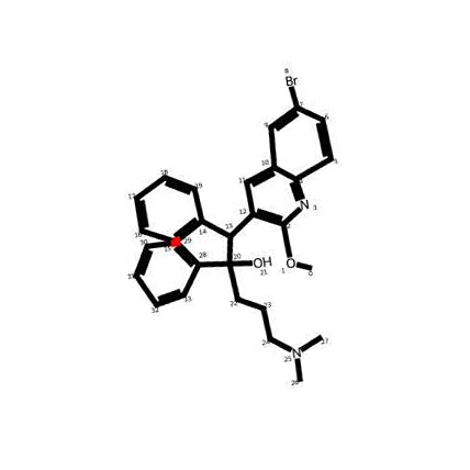 COc1nc2ccc(Br)cc2cc1C(c1ccccc1)C(O)(CCCN(C)C)c1ccccc1